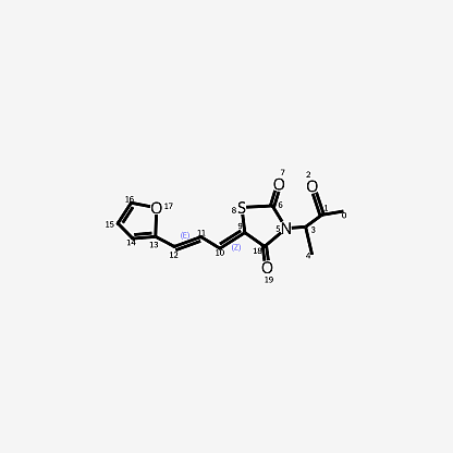 CC(=O)C(C)N1C(=O)S/C(=C\C=C\c2ccco2)C1=O